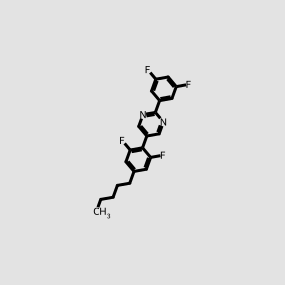 CCCCCc1cc(F)c(-c2cnc(-c3cc(F)cc(F)c3)nc2)c(F)c1